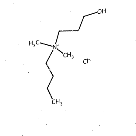 CCCC[N+](C)(C)CCCO.[Cl-]